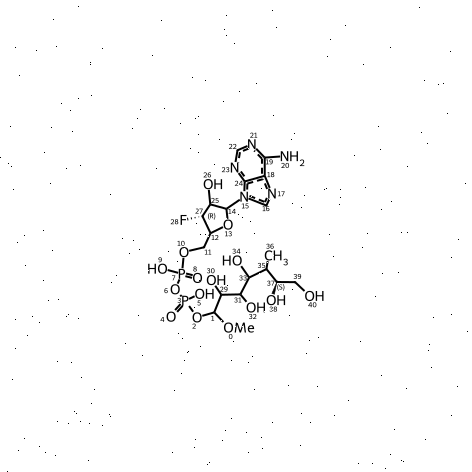 COC(OP(=O)(O)OP(=O)(O)OCC1OC(n2cnc3c(N)ncnc32)C(O)[C@H]1F)C(O)C(O)C(O)C(C)[C@H](O)CO